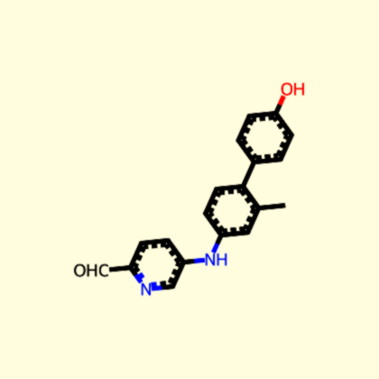 Cc1cc(Nc2ccc(C=O)nc2)ccc1-c1ccc(O)cc1